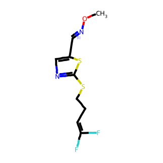 CO/N=C/c1cnc(SCCC=C(F)F)s1